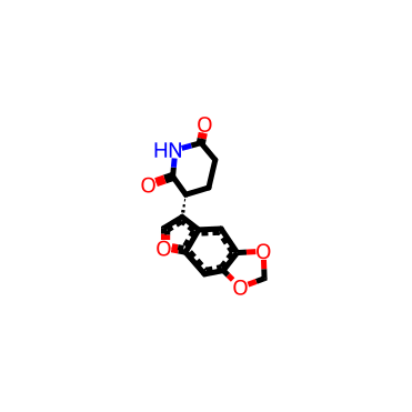 O=C1CC[C@H](c2coc3cc4c(cc23)OCO4)C(=O)N1